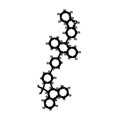 CC1(C)c2ccc(-c3ccc(-c4c5ccccc5c(-c5ccc6oc7ccccc7c6c5)c5ccccc45)cc3)cc2-c2c1c1ccccc1c1ccccc21